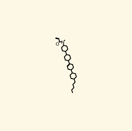 C=CC(=O)N(C)C1CCC(C2CCC(C3=CCC(C4CCC(CCCCC)CC4)CC3)CC2)CC1